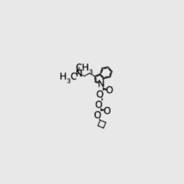 CN(C)CCc1cn(C(=O)OCOC(=O)OC2CCC2)c2ccccc12